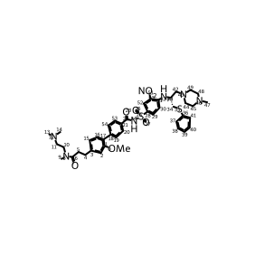 COc1cc(CCC(=O)N(C)CCN(C)C)ccc1-c1ccc(C(=O)NS(=O)(=O)c2ccc(N[C@@H](CSc3ccccc3)CN3CCN(C)CC3)c([N+](=O)[O-])c2)cc1